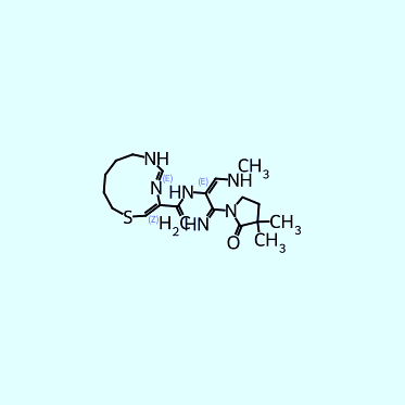 C=C(N/C(=C/NC)C(=N)N1CCC(C)(C)C1=O)C1=C/SCCCCCN\C=N\1